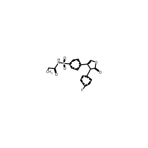 CCC(=O)NS(=O)(=O)c1ccc(C2=COC(=O)C2c2ccc(F)cc2)cc1